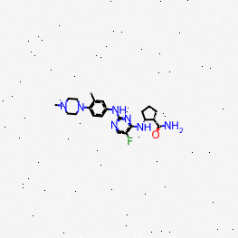 Cc1cc(Nc2ncc(F)c(N[C@@H]3CCCC3C(N)=O)n2)ccc1N1CCN(C)CC1